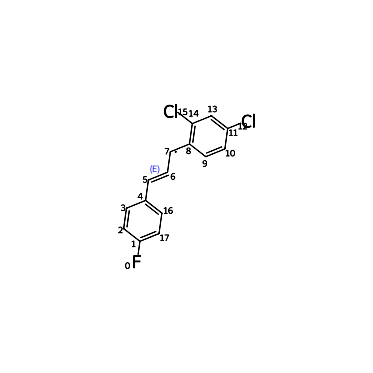 Fc1ccc(/C=C/[CH]c2ccc(Cl)cc2Cl)cc1